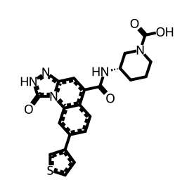 O=C(N[C@H]1CCCN(C(=O)O)C1)c1cc2n[nH]c(=O)n2c2cc(-c3ccsc3)ccc12